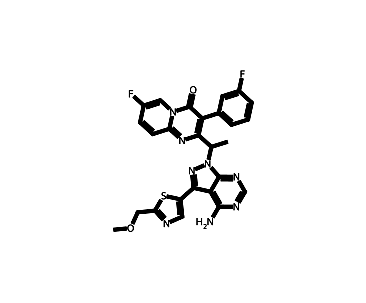 COCc1ncc(-c2nn(C(C)c3nc4ccc(F)cn4c(=O)c3-c3cccc(F)c3)c3ncnc(N)c23)s1